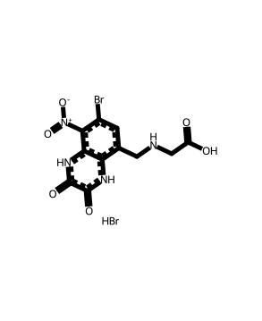 Br.O=C(O)CNCc1cc(Br)c([N+](=O)[O-])c2[nH]c(=O)c(=O)[nH]c12